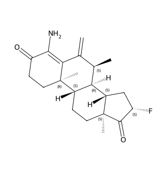 C=C1C2=C(N)C(=O)CC[C@]2(C)[C@H]2CC[C@]3(C)C(=O)[C@@H](F)C[C@H]3[C@@H]2[C@@H]1C